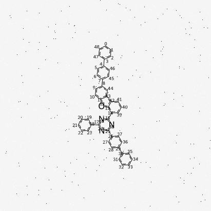 c1ccc(-c2ccc(-c3ccc4oc5c(-c6nc(-c7ccccc7)nc(-c7ccc(-c8ccccc8)cc7)n6)cccc5c4c3)cc2)cc1